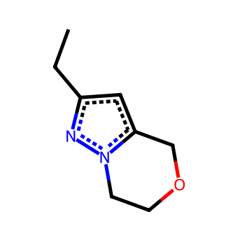 CCc1cc2n(n1)CCOC2